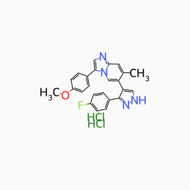 COc1ccc(-c2cnc3cc(C)c(-c4c[nH]nc4-c4ccc(F)cc4)cn23)cc1.Cl.Cl